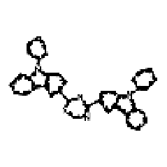 c1ccc(-n2c3ccccc3c3cc(-c4ncnc(-c5ccc6c(c5)c5ccccc5n6-c5ccccc5)n4)ccc32)cc1